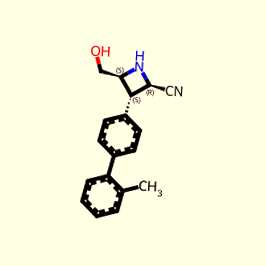 Cc1ccccc1-c1ccc([C@H]2[C@H](C#N)N[C@@H]2CO)cc1